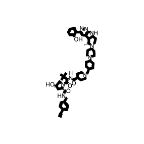 C#Cc1ccc(CNC(=O)[C@@H]2C[C@@H](O)CN2C(=O)[C@@H](NC(=O)C2CCN(CC3CCC(N4CCC(N5CCC6Nc7nnc(-c8ccccc8O)cc7C6[C@H]5C)CC4)CC3)CC2)C(C)(C)C)cc1